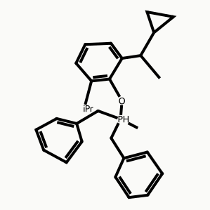 CC(C)c1cccc(C(C)C2CC2)c1O[PH](C)(Cc1ccccc1)Cc1ccccc1